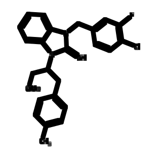 COCC(Cc1ccc(C)cc1)n1c(=N)n(Cc2ccc(Cl)c(F)c2)c2ccccc21